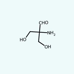 NC(C=O)(CO)CO